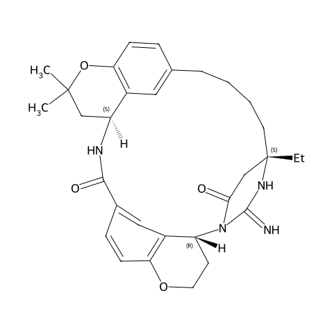 CC[C@@]12CCCCc3ccc4c(c3)[C@H](CC(C)(C)O4)NC(=O)c3ccc4c(c3)[C@@H](CCO4)N(C(=N)N1)C(=O)C2